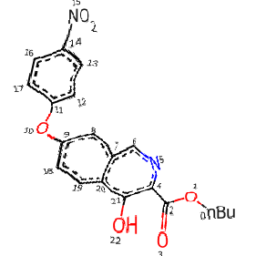 CCCCOC(=O)c1ncc2cc(Oc3ccc([N+](=O)[O-])cc3)ccc2c1O